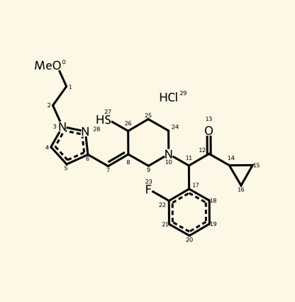 COCCn1ccc(/C=C2/CN(C(C(=O)C3CC3)c3ccccc3F)CCC2S)n1.Cl